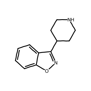 c1ccc2c(C3CCNCC3)noc2c1